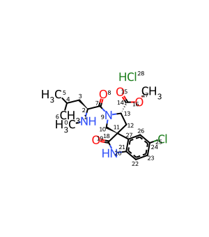 CN[C@@H](CC(C)C)C(=O)N1C[C@]2(C[C@H]1C(=O)OC)C(=O)Nc1ccc(Cl)cc12.Cl